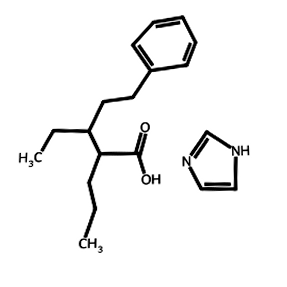 CCCC(C(=O)O)C(CC)CCc1ccccc1.c1c[nH]cn1